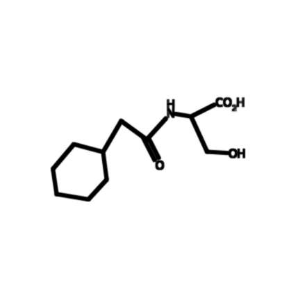 O=C(CC1CCCCC1)NC(CO)C(=O)O